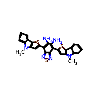 Cn1c2ccccc2c2sc(-c3c(N)c(N)c(-c4cc5c(s4)c4ccccc4n5C)c4nsnc34)cc21